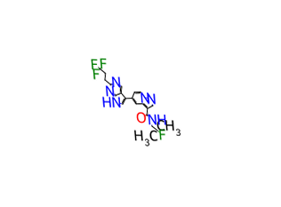 CC(C)(F)CNC(=O)c1cnn2ccc(-c3c[nH]c4nc(CCC(F)(F)F)ncc34)cc12